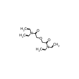 C=CN(C=C)C(=O)COCC(=O)N(C=C)C=C